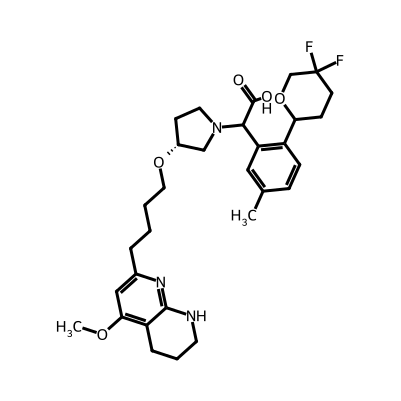 COc1cc(CCCCO[C@@H]2CCN(C(C(=O)O)c3cc(C)ccc3C3CCC(F)(F)CO3)C2)nc2c1CCCN2